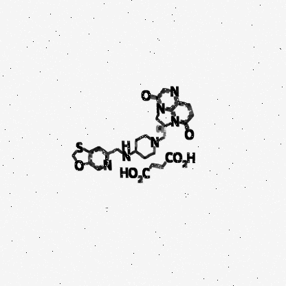 O=C(O)C=CC(=O)O.O=c1cnc2ccc(=O)n3c2n1C[C@H]3CN1CCC(NCc2cc3c(cn2)OCS3)CC1